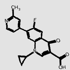 Cc1cc(-c2cc3c(cc2F)c(=O)c(C(=O)O)cn3C2CC2)ccn1